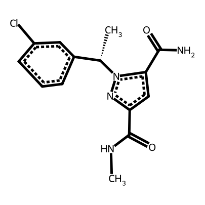 CNC(=O)c1cc(C(N)=O)n([C@@H](C)c2cccc(Cl)c2)n1